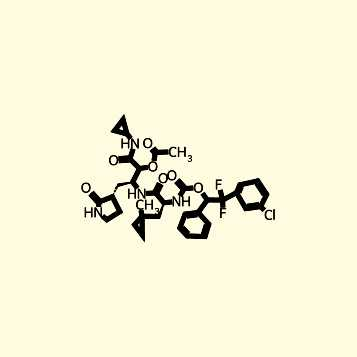 CC(=O)OC(C(=O)NC1CC1)[C@H](C[C@@H]1CCNC1=O)NC(=O)[C@H](CC1(C)CC1)NC(=O)OC(c1ccccc1)C(F)(F)c1cccc(Cl)c1